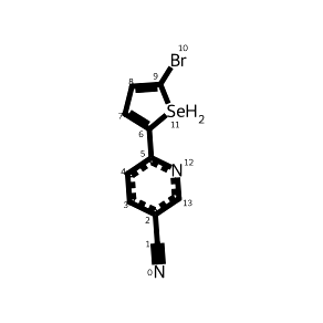 N#Cc1ccc(C2=CC=C(Br)[SeH2]2)nc1